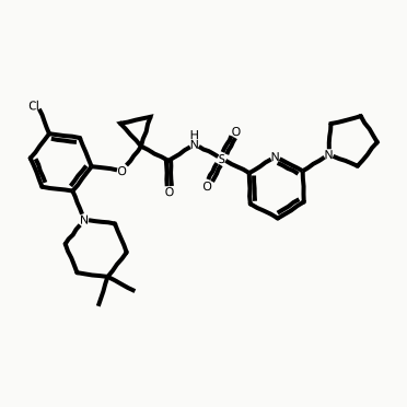 CC1(C)CCN(c2ccc(Cl)cc2OC2(C(=O)NS(=O)(=O)c3cccc(N4CCCC4)n3)CC2)CC1